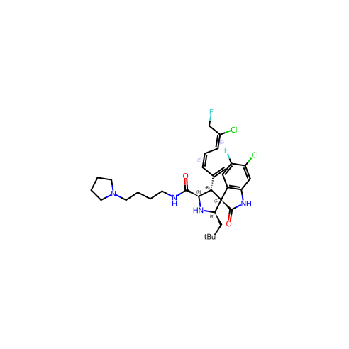 C=C(/C=C\C=C(\Cl)CF)[C@H]1[C@H](C(=O)NCCCCN2CCCC2)N[C@H](CC(C)(C)C)[C@]12C(=O)Nc1cc(Cl)c(F)cc12